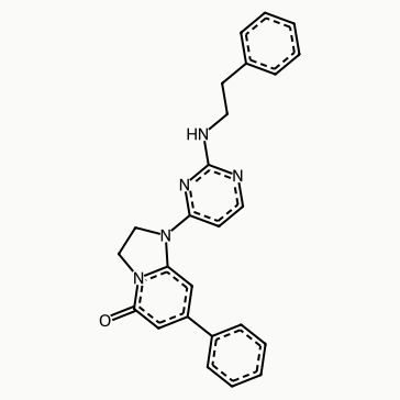 O=c1cc(-c2ccccc2)cc2n1CCN2c1ccnc(NCCc2ccccc2)n1